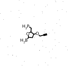 BC1CC(OCC#C)C(CP)O1